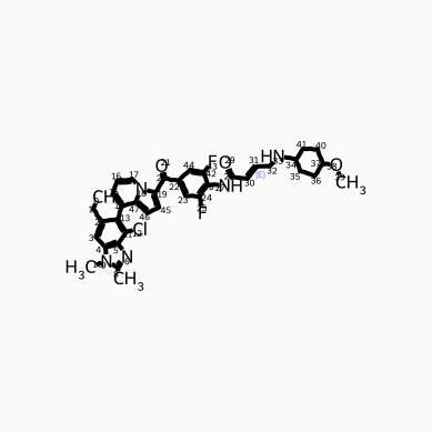 CCc1cc2c(nc(C)n2C)c(Cl)c1-c1cccn2c(C(=O)c3cc(F)c(NC(=O)/C=C/CNC4CCC(OC)CC4)c(F)c3)ccc12